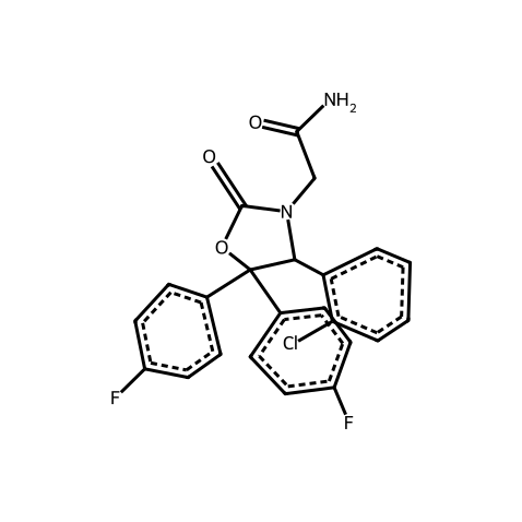 NC(=O)CN1C(=O)OC(c2ccc(F)cc2)(c2ccc(F)cc2)C1c1ccccc1Cl